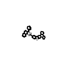 c1ccc(-c2nc(-c3ccc4oc5cc6c7ccccc7c7ccccc7c6cc5c4c3)nc3c2ccc2ccccc23)cc1